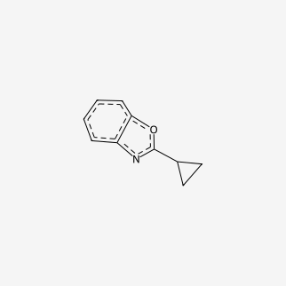 c1ccc2oc(C3CC3)nc2c1